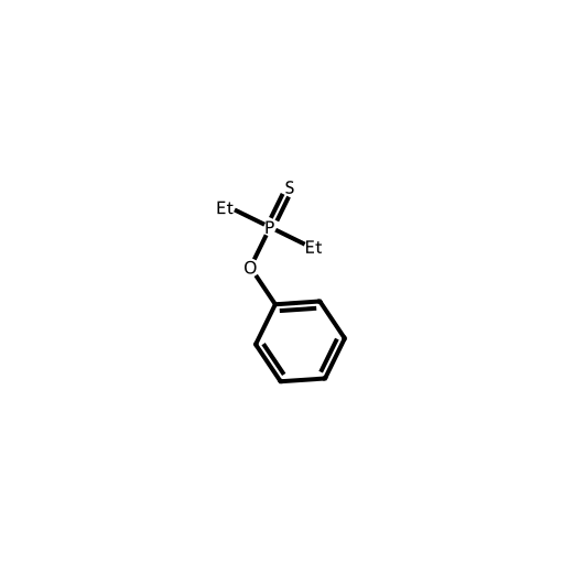 CCP(=S)(CC)Oc1ccccc1